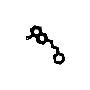 Clc1ncnc2cc(OCCN3CCCCC3)ccc12